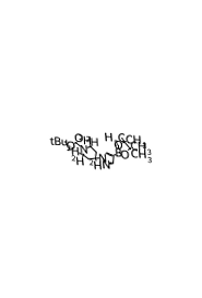 [2H]C1([2H])CC([2H])(n2cc(B3OC(C)(C)C(C)(C)O3)cn2)CC([2H])([2H])N1C(=O)OC(C)(C)C